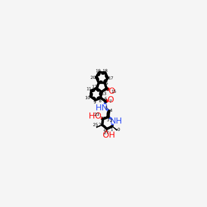 C[C@@H]1N/C(=C/NC(=O)c2cccc3c2C(=O)c2ccccc2-3)C(O)[C@H](C)[C@@H]1O